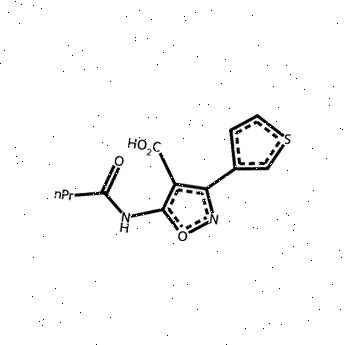 CCCC(=O)Nc1onc(-c2ccsc2)c1C(=O)O